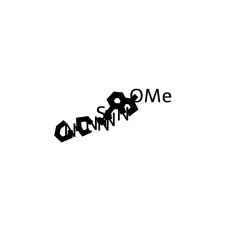 COc1ccnc2c(-c3nnc(N4CCC(N5CCCCC5)CC4)s3)cccc12